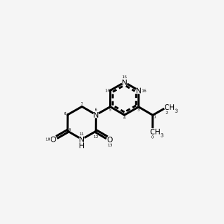 CC(C)c1cc(N2CCC(=O)NC2=O)cnn1